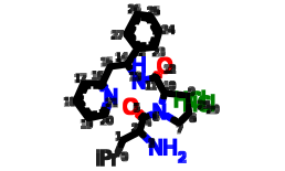 CC(C)CC(N)C(=O)N1CCCC1C(=O)NC(Cc1ccccn1)c1ccccc1.Cl.Cl